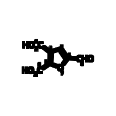 O=Cc1cc(C(=O)O)c(C(=O)O)o1